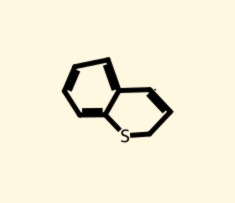 [C]1=CCSc2ccccc21